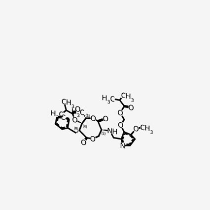 COc1ccnc(CN[C@H]2COC(=O)[C@H](Cc3ccccc3)[C@@H](OC(=O)C(C)C)[C@H](C)OC2=O)c1OCOC(=O)C(C)C